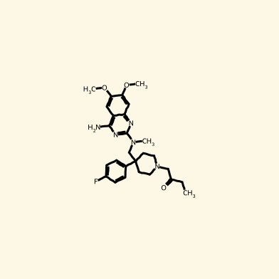 CCC(=O)CN1CCC(CN(C)c2nc(N)c3cc(OC)c(OC)cc3n2)(c2ccc(F)cc2)CC1